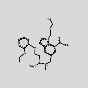 C[C@H](Cc1cc(C(N)=O)c2c(ccn2CCCO)c1)N(CCOc1ccccc1OCC(F)(F)F)C(=O)O